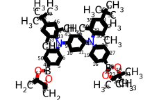 C=C1OB(c2ccc(N(c3ccc(N(c4ccc(B5OC(C)(C)C(C)(C)O5)cc4)c4c(C)cc(C(C)(C)C)cc4C)cc3)c3c(C)cc(C(C)(C)C)cc3C)cc2)OC1=C